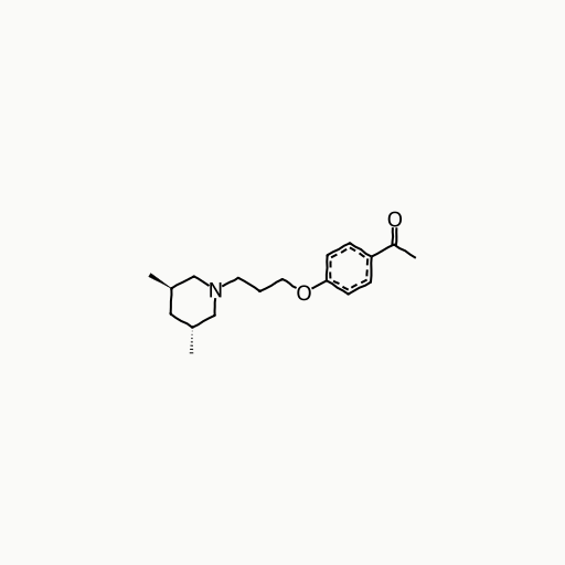 CC(=O)c1ccc(OCCCN2C[C@H](C)C[C@@H](C)C2)cc1